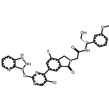 COc1cccc([C@@H](CO)NC(=O)CN2Cc3c(F)cc(-c4nc(ON5NNc6cccnc65)ncc4Cl)cc3C2=O)c1